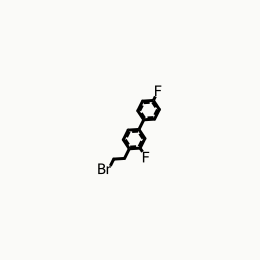 Fc1ccc(-c2ccc(CCBr)c(F)c2)cc1